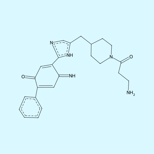 N=C1C=C(c2ccccc2)C(=O)C=C1c1ncc(CC2CCN(C(=O)CCN)CC2)[nH]1